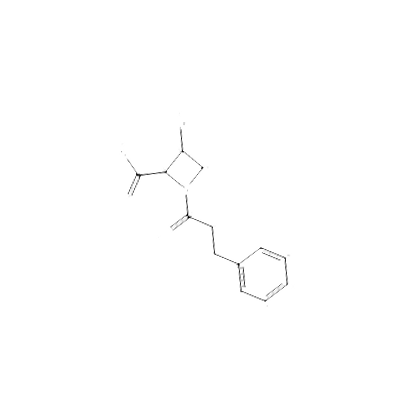 NC(=O)C1C(O)CN1C(=O)[CH]Cc1ccccc1